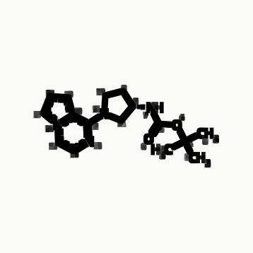 CC(C)(C)OC(=O)N[C@H]1CCN(c2nccn3cccc23)C1